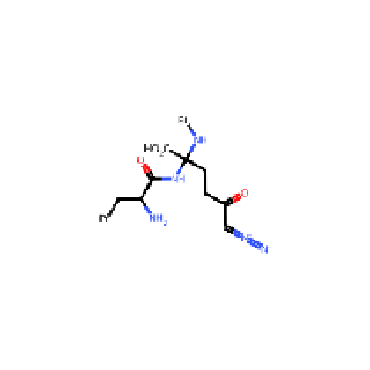 CCNC(CCC(=O)C=[N+]=[N-])(NC(=O)C(N)CC(C)C)C(=O)O